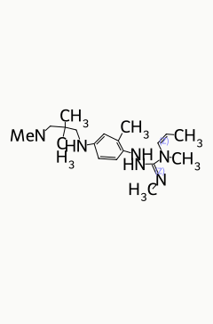 C/C=C\N(C)/C(=N/C)NNc1ccc(NCC(C)(C)CNC)cc1C